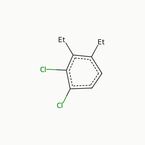 CCc1ccc(Cl)c(Cl)c1CC